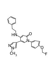 Cn1cc(-c2cn(-c3ccc(OCF)cc3)c(=O)cc2NCCc2ccccc2)cn1